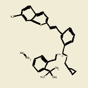 CC(C)(O)c1ccccc1CC[C@@H](SCC1CC1)c1cccc(/C=C/c2ccc3ccc(Cl)cc3n2)c1.CC(N)=O